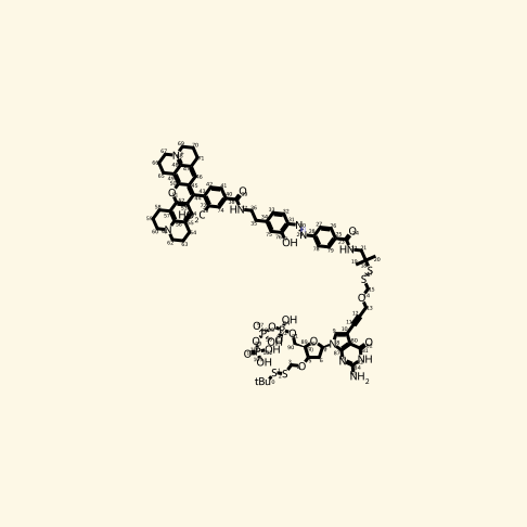 CC(C)(C)SSCOC1C[C@H](n2cc(C#CCOCSSC(C)(C)CNC(=O)c3ccc(/N=N/c4ccc(CCNC(=O)c5ccc(C6=c7cc8c9c(c7Oc7c6cc6c%10c7CCCN%10CCC6)CCC[N+]=9CCC8)c(C(=O)O)c5)cc4O)cc3)c3c(=O)[nH]c(N)nc32)O[C@@H]1COP(=O)(O)OP(=O)(O)OP(=O)(O)O